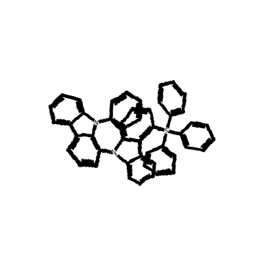 c1ccc(-n2c3ccccc3c3cccc(-n4c5ccccc5c5c([Si](c6ccccc6)(c6ccccc6)c6ccccc6)cccc54)c32)cc1